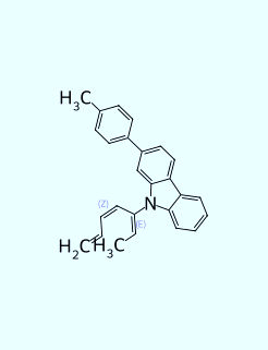 C=C/C=C\C(=C/C)n1c2ccccc2c2ccc(-c3ccc(C)cc3)cc21